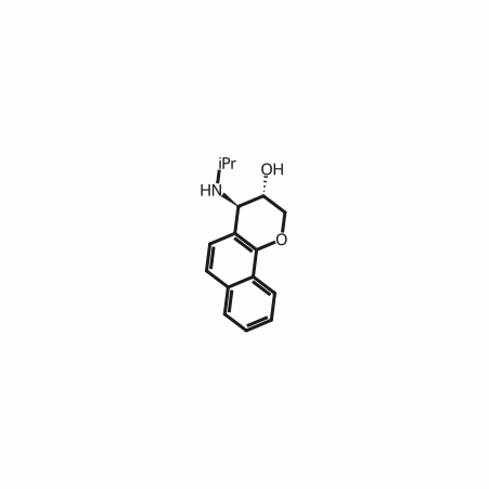 CC(C)N[C@@H]1c2ccc3ccccc3c2OC[C@H]1O